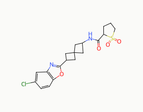 O=C(NC1CC2(C1)CC(c1nc3cc(Cl)ccc3o1)C2)C1CCCS1(=O)=O